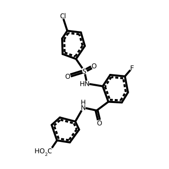 O=C(O)c1ccc(NC(=O)c2ccc(F)cc2NS(=O)(=O)c2ccc(Cl)cc2)cc1